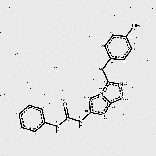 O=C(Nc1ccccc1)Nc1nn2c(Cc3ccc(O)cc3)nnc2s1